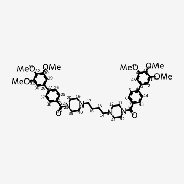 COc1cc(-c2ccc(C(=O)N3CCN(CCCCN4CCN(C(=O)c5ccc(-c6cc(OC)c(OC)c(OC)c6)cc5)CC4)CC3)cc2)cc(OC)c1OC